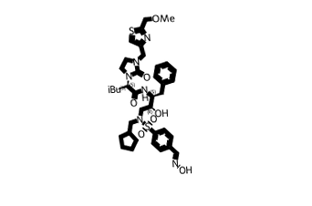 CC[C@H](C)[C@@H](C(=O)N[C@@H](Cc1ccccc1)[C@H](O)CN(CC1CCCC1)S(=O)(=O)c1ccc(C=NO)cc1)N1CCN(Cc2csc(COC)n2)C1=O